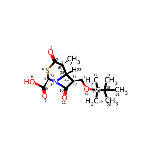 C[C@H]1C(=O)S[C@H](C(=O)O)N2C(=O)[C@H](CO[Si](C)(C)C(C)(C)C)[C@@H]12